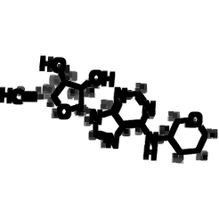 C#C[C@H]1O[C@@H](n2cnc3c(NC4CCCOC4)ncnc32)[C@H](O)[C@@H]1O